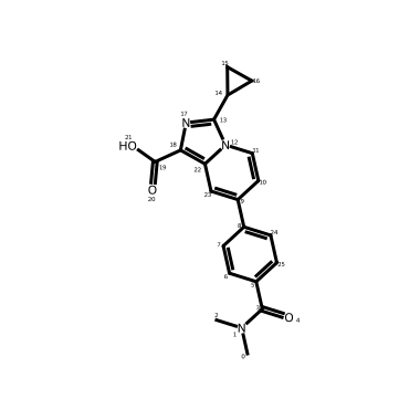 CN(C)C(=O)c1ccc(-c2ccn3c(C4CC4)nc(C(=O)O)c3c2)cc1